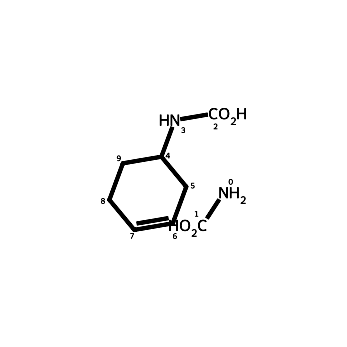 NC(=O)O.O=C(O)NC1CC=CCC1